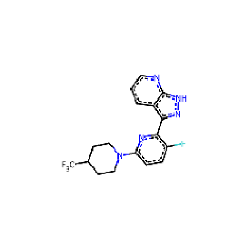 Fc1ccc(N2CCC(C(F)(F)F)CC2)nc1-c1n[nH]c2ncccc12